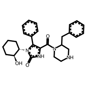 O=C(c1[nH]c(=O)n([C@H]2CCCC[C@@H]2O)c1-c1ccccc1)N1CCNCC1Cc1ccccc1